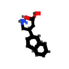 NCC(CC(=O)O)c1ccc2ccccc2c1